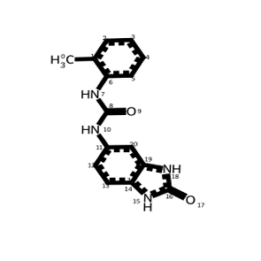 Cc1ccccc1NC(=O)Nc1ccc2[nH]c(=O)[nH]c2c1